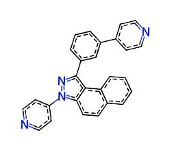 c1cc(-c2ccncc2)cc(-c2nn(-c3ccncc3)c3ccc4ccccc4c23)c1